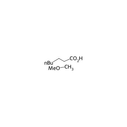 CCCCCCC(=O)O.COC